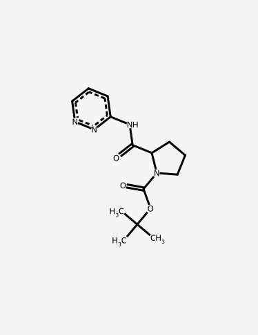 CC(C)(C)OC(=O)N1CCCC1C(=O)Nc1cccnn1